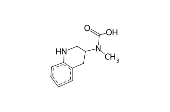 CN(C(=O)O)C1CNc2ccccc2C1